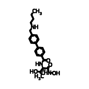 CCCCNCc1ccc(-c2ccc(C(=O)N[C@H](C(=O)NO)[C@@H](C)O)cc2)cc1